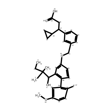 CCC(C)(C)C(O)c1cc(OCc2cccc(C(CC(=O)O)C3CC3)c2)ccc1-c1cc(OC)ccc1F